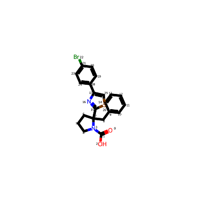 O=C(O)N1CCCC1(Cc1ccccc1)c1nc(-c2ccc(Br)cc2)cs1